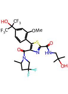 COc1cc(C(O)(C(F)(F)F)C(F)(F)F)ccc1-c1sc(C(=O)NCC(C)(C)O)nc1C(=O)N1CC(F)(F)CC1C